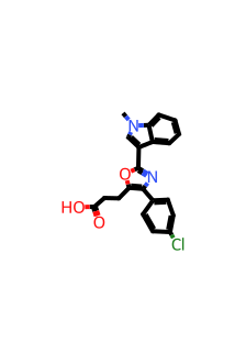 Cn1cc(-c2nc(-c3ccc(Cl)cc3)c(CCC(=O)O)o2)c2ccccc21